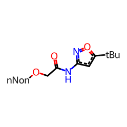 CCCCCCCCCOCC(=O)Nc1cc(C(C)(C)C)on1